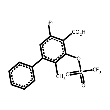 Cc1c(-c2ccccc2)cc(C(C)C)c(C(=O)O)c1OS(=O)(=O)C(F)(F)F